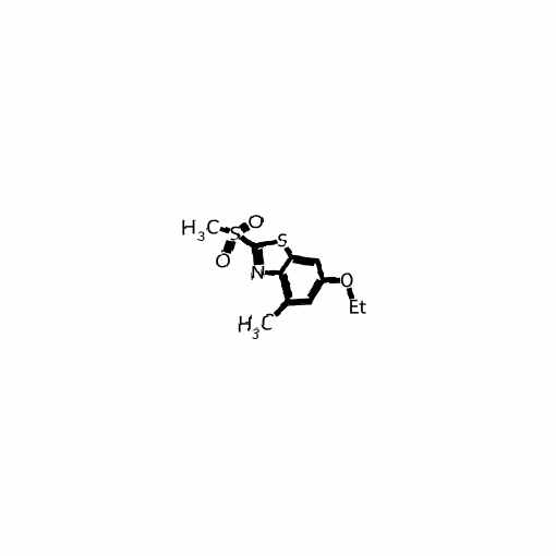 CCOc1cc(C)c2nc(S(C)(=O)=O)sc2c1